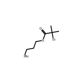 CCC(C)(C)C(=O)OCCCC(C)(C)C